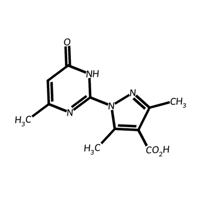 Cc1cc(=O)[nH]c(-n2nc(C)c(C(=O)O)c2C)n1